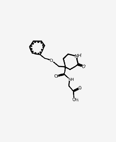 O=C(O)CNC(=O)C1(COCc2ccccc2)CCNC(=O)C1